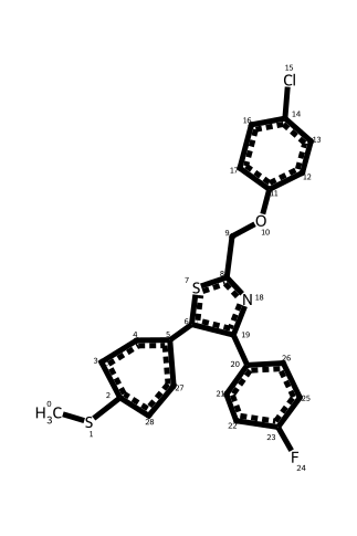 CSc1ccc(-c2sc(COc3ccc(Cl)cc3)nc2-c2ccc(F)cc2)cc1